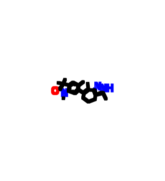 CC1=C(c2cc3c(cc2C)C(C)(C)C(=O)N3C)CCCc2c1n[nH]c2C